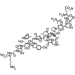 C[C@H](NC(=O)[C@@H]1CCCN1C(=O)[C@H](CC(N)=O)NC(=O)[C@H](CS)NC(=O)[C@H](CS)NC(=O)[C@@H](N)CCC(=O)O)C(=O)N[C@@H](CS)C(=O)NCC(=O)N[C@@H](CCCNC(=N)N)C(=O)N[C@@H](Cc1c[nH]cn1)C(=O)N[C@@H](Cc1ccc(O)cc1)C(=O)N[C@@H](CO)C(=O)N[C@@H](CS)C(=O)NCC(=O)N[C@@H](CCCCN)C(=O)O